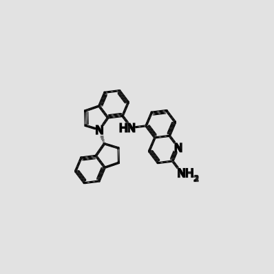 Nc1ccc2c(Nc3cccc4ccn([C@@H]5CCc6ccccc65)c34)cccc2n1